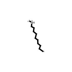 CCCCCCCCCCNI